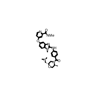 CNC(=O)c1cc(Oc2ccc3c(c2)nc(Nc2ccc(C(=O)N4C[C@@H](CN(C)C)OC[C@@H]4C)cc2)n3C)ccn1